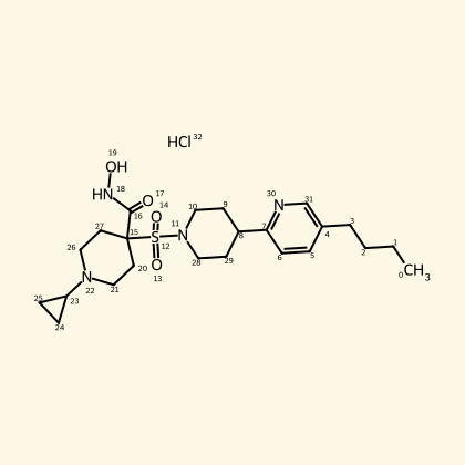 CCCCc1ccc(C2CCN(S(=O)(=O)C3(C(=O)NO)CCN(C4CC4)CC3)CC2)nc1.Cl